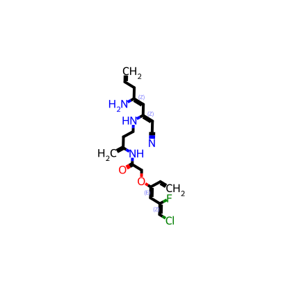 C=CC/C(N)=C/C(=C/C#N)NCCC(=C)NC(=O)CO/C(C=C)=C/C(F)=C/Cl